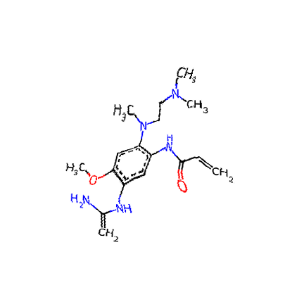 C=CC(=O)Nc1cc(NC(=C)N)c(OC)cc1N(C)CCN(C)C